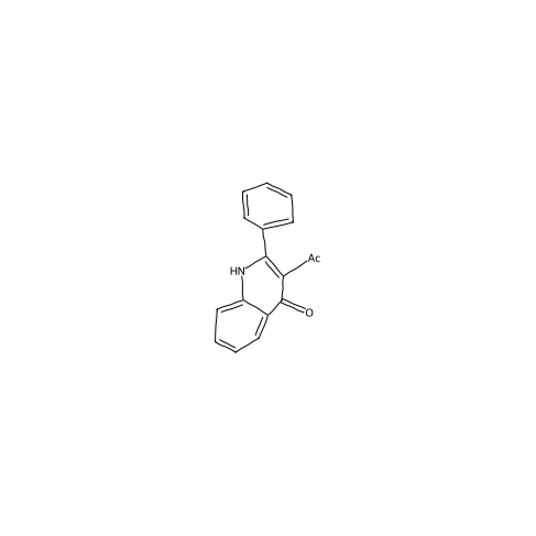 CC(=O)c1c(-c2ccccc2)[nH]c2ccccc2c1=O